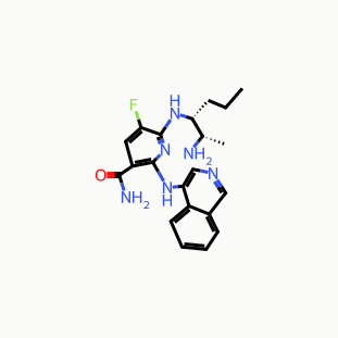 CCC[C@@H](Nc1nc(Nc2cncc3ccccc23)c(C(N)=O)cc1F)[C@H](C)N